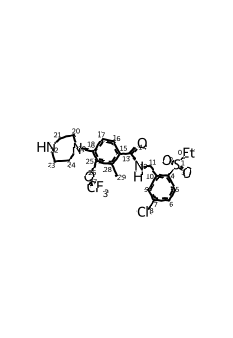 CCS(=O)(=O)c1ccc(Cl)cc1CNC(=O)c1ccc(N2CCNCC2)c(OC(F)(F)F)c1C